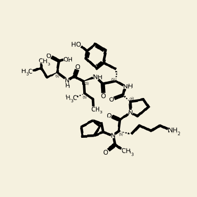 CC[C@H](C)[C@H](NC(=O)[C@H](Cc1ccc(O)cc1)NC(=O)[C@@H]1CCCN1C(=O)[C@H](CCCCN)N(C(C)=O)C1CC2CCC1C2)C(=O)N[C@@H](CC(C)C)C(=O)O